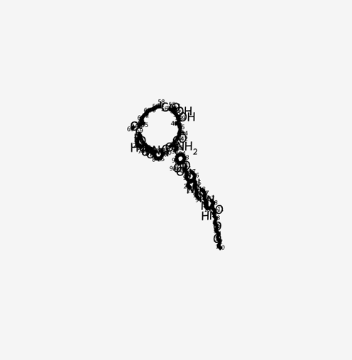 CCCOCCOCCNC(=O)c1cnc(N2CCN(c3ncc4c(n3)CCN(C(=O)O[C@@H]3CC[C@@H](C[C@@H](N)C5CC(=O)[C@H](C)/C=C(\C)[C@@H](O)[C@@H](O)C(=O)[C@H](C)C[C@H](C)/C=C/C=C/C=C(\C)[C@@H](OC)C[C@@H]6CC[C@@H](C)[C@@](O)(O6)C(=O)C(=O)N6CCCC[C@H]6CO5)C[C@H]3OC)C4)CC2)nc1